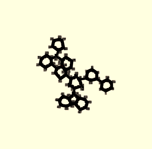 c1ccc(-c2cccc(-c3nc(-c4ccc(-c5ccccc5N(c5ccccc5)c5ccccc5)cc4)nc(-n4c5ccccc5c5ccccc54)n3)c2)cc1